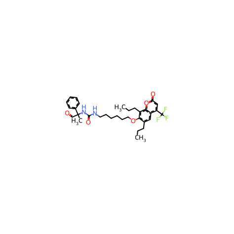 CCCc1cc2c(C(F)(F)F)cc(=O)oc2c(CCC)c1OCCCCCCNC(=O)NC(C)(C=O)c1ccccc1